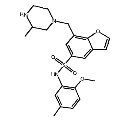 COc1ccc(C)cc1NS(=O)(=O)c1cc(CN2CCNC(C)C2)c2occc2c1